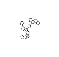 c1ccc(-c2cccc(N(c3ccc(-c4cc5c6ccccc6ccc5c5ccccc45)cc3)c3ccc4sc5ccc6ccccc6c5c4c3)c2)cc1